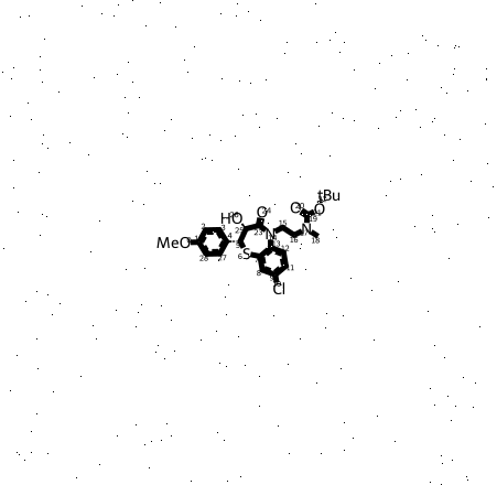 COc1ccc([C@H]2Sc3cc(Cl)ccc3N(CCN(C)C(=O)OC(C)(C)C)C(=O)[C@H]2O)cc1